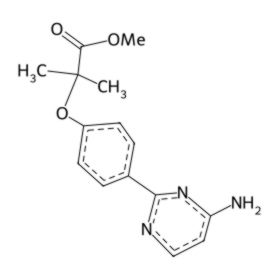 COC(=O)C(C)(C)Oc1ccc(-c2nccc(N)n2)cc1